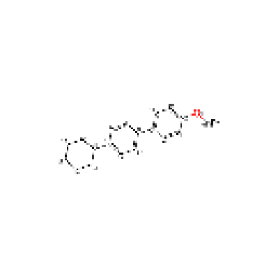 CCCOc1ccc(-c2ccc(C3CC[CH]CC3)cc2)cc1